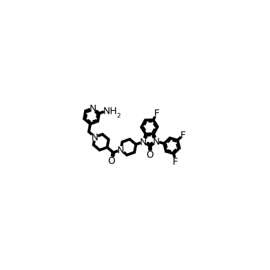 Nc1cc(CN2CCC(C(=O)N3CCC(n4c(=O)n(-c5cc(F)cc(F)c5)c5cc(F)ccc54)CC3)CC2)ccn1